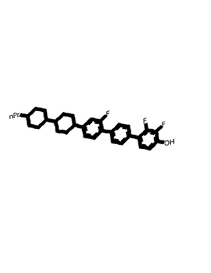 CCCC1CCC(C2CCC(c3ccc(-c4ccc(-c5ccc(O)c(F)c5F)cc4)c(F)c3)CC2)CC1